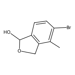 Cc1c(Br)ccc2c1COC2O